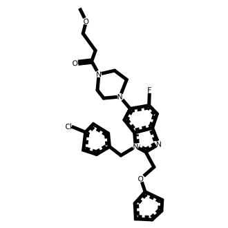 COCCC(=O)N1CCN(c2cc3c(cc2F)nc(COc2ccccc2)n3Cc2ccc(Cl)cc2)CC1